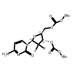 CC(C)(C)OC(=O)OC[C@@H]1O[C@H](n2ccc(N)nc2=O)C(F)(F)[C@H]1OC(=O)OC(C)(C)C